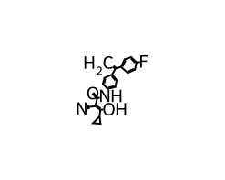 C=C(c1ccc(F)cc1)c1ccc(NC(=O)C(C#N)=C(O)C2CC2)cc1